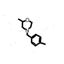 Cc1ccc(CN2CCOC(C)C2)cc1